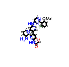 COc1cccc(F)c1-c1nccc(Nc2cc(N3CCC[C@H](N)C3)c(-c3cnc4c(c3)OCC(=O)N4)cn2)n1